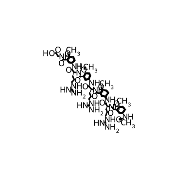 COc1ccc(NC(=O)[C@H](CCCNC(=N)N)NC(=O)c2cc(NC(=O)[C@H](CCCNC(=N)N)NC(=O)c3cc(NC(=O)[C@H](CCCNC(=N)N)NC(=O)c4cc(NC(C)=O)ccc4OC)ccc3OC)ccc2OC)cc1C(=O)NCC(=O)O